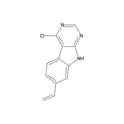 C=Cc1ccc2c(c1)[nH]c1ncnc(Cl)c12